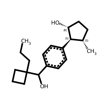 CCCC1(C(O)c2ccc([C@H]3[C@H](O)CC[C@@H]3C)cc2)CCC1